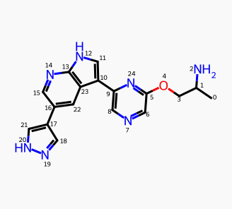 CC(N)COc1cncc(-c2c[nH]c3ncc(-c4cn[nH]c4)cc23)n1